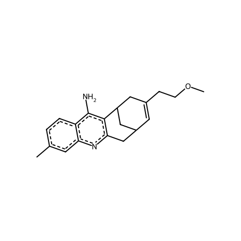 COCCC1=CC2Cc3nc4cc(C)ccc4c(N)c3C(C1)C2